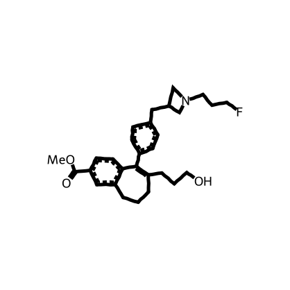 COC(=O)c1ccc2c(c1)CCCC(CCCO)=C2c1ccc(CC2CN(CCCF)C2)cc1